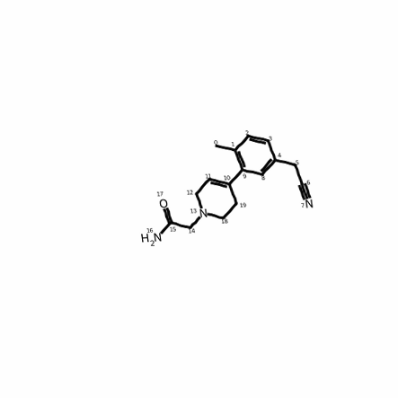 Cc1ccc(CC#N)cc1C1=CCN(CC(N)=O)CC1